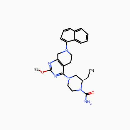 CCOc1nc2c(c(N3CCN(C(N)=O)[C@@H](CC#N)C3)n1)CCN(c1cccc3ccccc13)C2